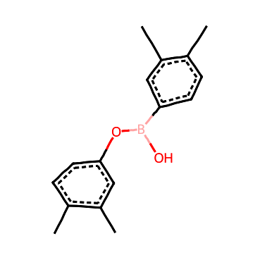 Cc1ccc(OB(O)c2ccc(C)c(C)c2)cc1C